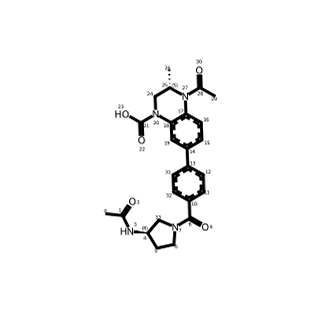 CC(=O)N[C@@H]1CCN(C(=O)c2ccc(-c3ccc4c(c3)N(C(=O)O)C[C@H](C)N4C(C)=O)cc2)C1